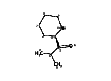 CC(C)C(=O)[C@H]1CCCCN1